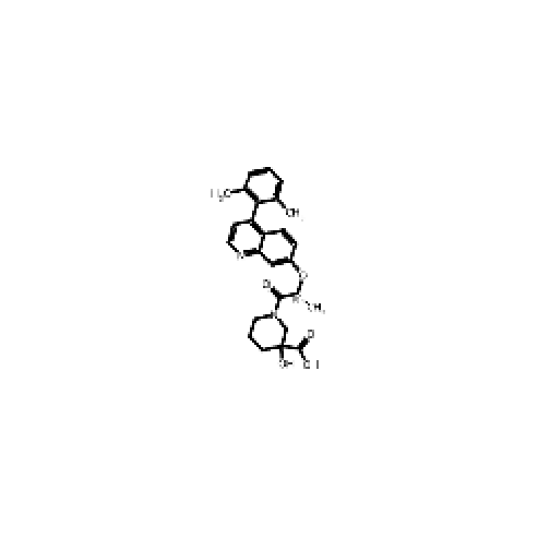 Cc1cccc(C)c1-c1ccnc2cc(O[C@H](C)C(=O)N3CCCC(O)(C(=O)O)C3)ccc12